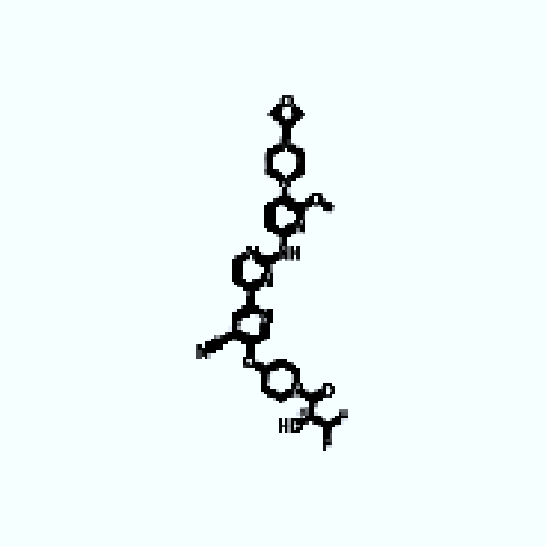 COc1nc(Nc2nccc(-c3cc(C#N)c(OC4CCN(C(=O)[C@H](O)C(F)F)CC4)cn3)n2)ccc1N1CCN(C2COC2)CC1